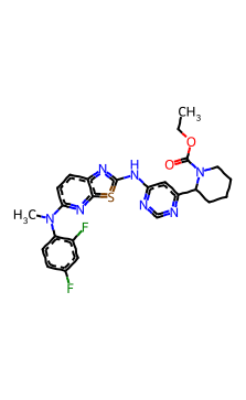 CCOC(=O)N1CCCCC1c1cc(Nc2nc3ccc(N(C)c4ccc(F)cc4F)nc3s2)ncn1